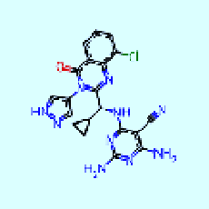 N#Cc1c(N)nc(N)nc1N[C@H](c1nc2c(Cl)cccc2c(=O)n1-c1cn[nH]c1)C1CC1